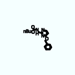 CCCCOC(=O)NCc1nccc(OCc2ccccc2)n1